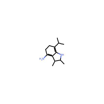 CC(C)C1=C2NC(C)C(C)C2=C(N)CC1